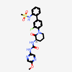 COc1cnc(NC(=O)N[C@@H]2CCCN(c3ccc(-c4ccccc4NS(C)(=O)=O)cc3F)C2=O)cn1